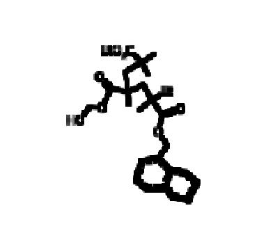 CCOC(=O)C(C)(C)CC(C)(CC(C)(CC)C(=O)OCc1cccc2ccccc12)C(=O)OCO